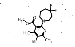 COC(=O)c1c(N2CCCC(F)(F)CC2)nc(C)c(Br)c1C